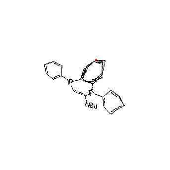 CCCC/C(=C/P(c1ccccc1)c1ccccc1)P(c1ccccc1)c1ccccc1